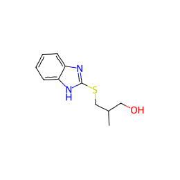 CC(CO)CSc1nc2ccccc2[nH]1